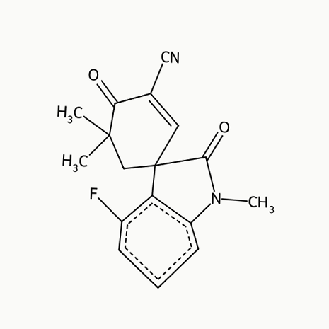 CN1C(=O)C2(C=C(C#N)C(=O)C(C)(C)C2)c2c(F)cccc21